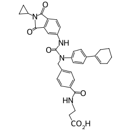 O=C(O)CCNC(=O)c1ccc(CN(C(=O)Nc2ccc3c(c2)C(=O)N(C2CC2)C3=O)c2ccc(C3=CCCCC3)cc2)cc1